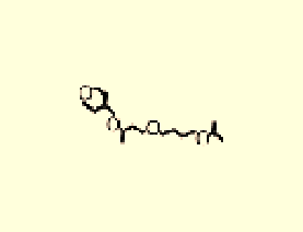 CC(C)OCCCCOCCC(C)OCC1CCOCC1